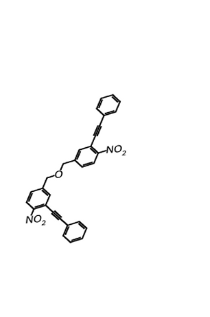 O=[N+]([O-])c1ccc(COCc2ccc([N+](=O)[O-])c(C#Cc3ccccc3)c2)cc1C#Cc1ccccc1